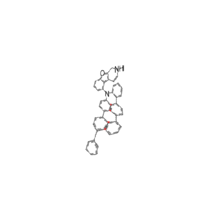 C1=Cc2c(oc3cccc(N(c4ccc(-c5ccc(-c6ccccc6)cc5)cc4)c4ccccc4-c4ccc(-c5ccccc5)cc4)c23)CN1